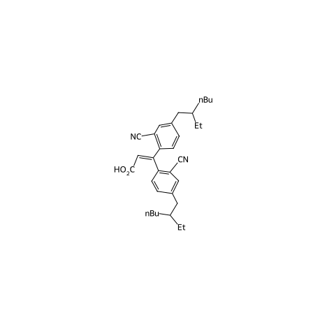 CCCCC(CC)Cc1ccc(C(=CC(=O)O)c2ccc(CC(CC)CCCC)cc2C#N)c(C#N)c1